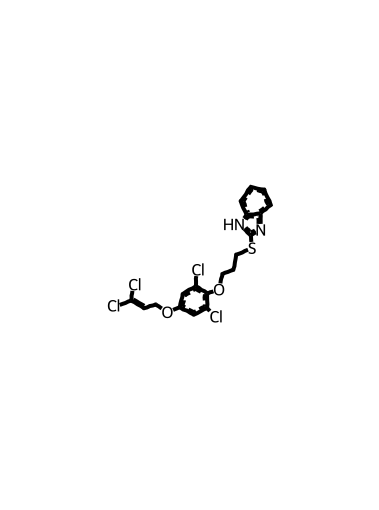 ClC(Cl)=CCOc1cc(Cl)c(OCCCSc2nc3ccccc3[nH]2)c(Cl)c1